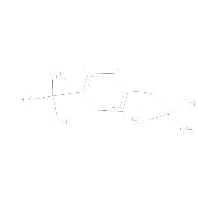 CC(C)(O)Cc1ccc(C(C)(C)C)cc1